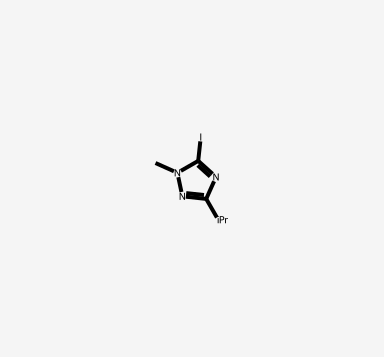 CC(C)c1nc(I)n(C)n1